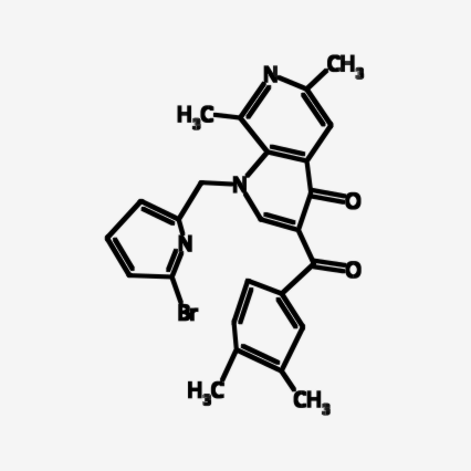 Cc1cc2c(=O)c(C(=O)c3ccc(C)c(C)c3)cn(Cc3cccc(Br)n3)c2c(C)n1